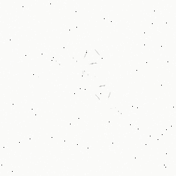 CN(C)S(=O)(=O)c1ccc(S(=O)(=O)Nc2ccccc2N2CCN([C@@H]3CCC4CC3C4)CC2)cc1